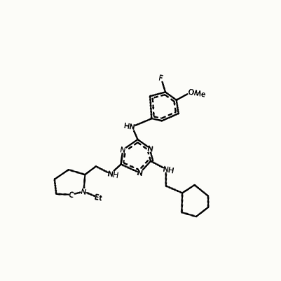 CCN1CCCCC1CNc1nc(NCC2CCCCC2)nc(Nc2ccc(OC)c(F)c2)n1